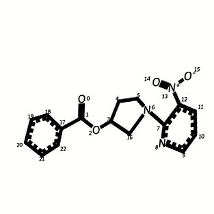 O=C(OC1CCN(c2ncccc2[N+](=O)[O-])C1)c1ccccc1